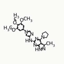 COc1cc(-n2cnc(Nc3nc(N4CCCC4)c4c(C)n[nH]c4n3)c2)cc(OC)c1OC